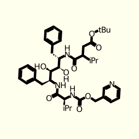 CC(C)C(CC(=O)OC(C)(C)C)C(=O)N[C@@H](Cc1ccccc1)[C@H](O)[C@H](O)[C@H](Cc1ccccc1)NC(=O)[C@@H](NC(=O)OCc1cccnc1)C(C)C